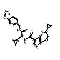 O=C(N[C@@H](C(=O)NCc1ccc(OC(F)(F)F)cc1)C1CC1)c1c[nH]c2ncc(C3CC3)nc12